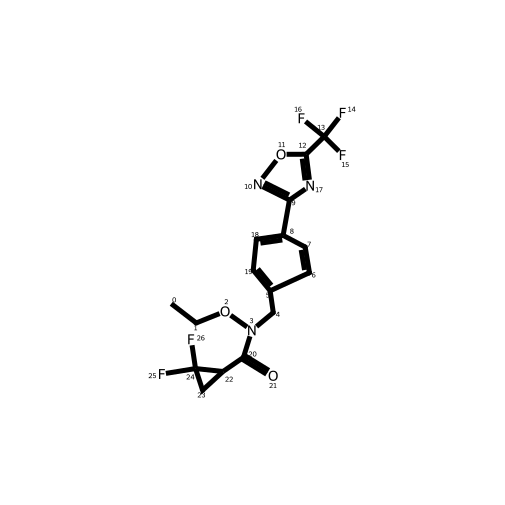 CCON(Cc1ccc(-c2noc(C(F)(F)F)n2)cc1)C(=O)C1CC1(F)F